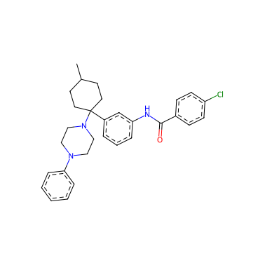 CC1CCC(c2cccc(NC(=O)c3ccc(Cl)cc3)c2)(N2CCN(c3ccccc3)CC2)CC1